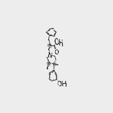 C[C@H]1CN(C[C@@H](Cc2ccccc2)C(=O)O)CC[C@]1(C)c1cccc(O)c1